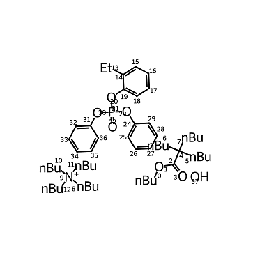 CCCCOC(=O)C(CCCC)(CCCC)CCCC.CCCC[N+](CCCC)(CCCC)CCCC.CCc1ccccc1OP(=O)(Oc1ccccc1)Oc1ccccc1.[OH-]